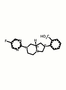 O=C(O)c1ccccc1[C@@H]1C[C@H]2CN(c3ncc(F)cn3)CCN2C1